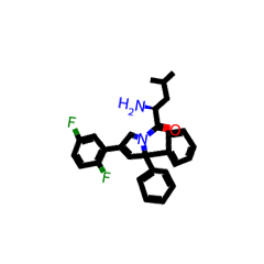 CC(C)C[C@H](N)C(=O)N1CC(c2cc(F)ccc2F)=CC1(c1ccccc1)c1ccccc1